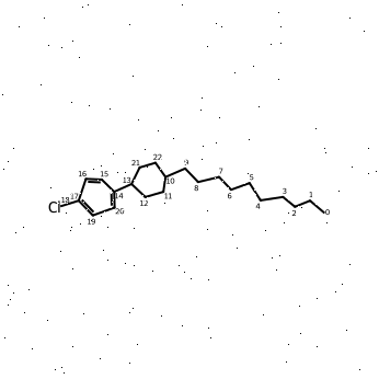 CCCCCCCCCCC1CCC(c2ccc(Cl)cc2)CC1